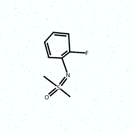 CS(C)(=O)=Nc1[c]cccc1F